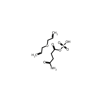 C=CCOCC=C.NC(=O)CCC(=O)OS(=O)(=O)O